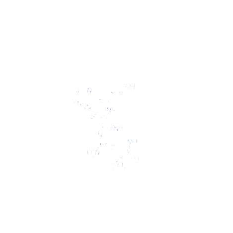 CCCc1nc(-c2nc(N)c3c(n2)NC(=O)[C@@H]3C)cn2ncnc12